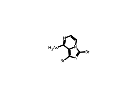 [AsH2]c1nccn2c(Br)nc(Br)c12